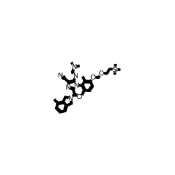 Cc1cccc2c1CN(C(=O)c1nc(C#N)c(/N=C/N(C)C)n1-c1c(C)ccc(OCOCC[Si](C)(C)C)c1C)C2